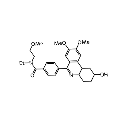 CCN(CCOC)C(=O)c1ccc(C2=NC3CCC(O)CC3c3cc(OC)c(OC)cc32)cc1